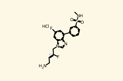 CNS(=O)(=O)c1cccc(-c2cc(F)cc3c2ncn3C/C(F)=C/CN)c1.Cl